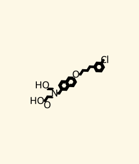 O=C(O)CCN(CCO)Cc1ccc2cc(OCCCCc3cccc(Cl)c3)ccc2c1